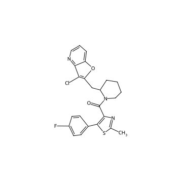 Cc1nc(C(=O)N2CCCCC2Cc2oc3cccnc3c2Cl)c(-c2ccc(F)cc2)s1